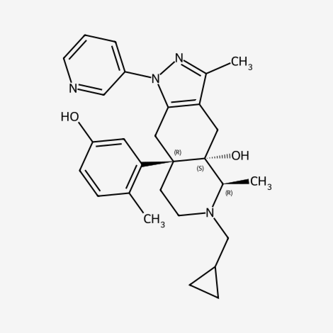 Cc1ccc(O)cc1[C@]12CCN(CC3CC3)[C@H](C)[C@]1(O)Cc1c(C)nn(-c3cccnc3)c1C2